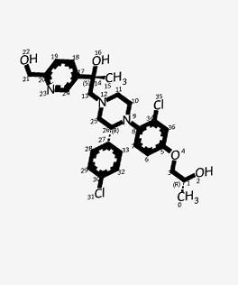 C[C@@H](O)COc1ccc(N2CCN(C[C@@](C)(O)c3ccc(CO)nc3)C[C@H]2c2ccc(Cl)cc2)c(Cl)c1